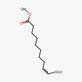 CCCCCCCC/C=C\CCCCCCCC(=O)ON=O